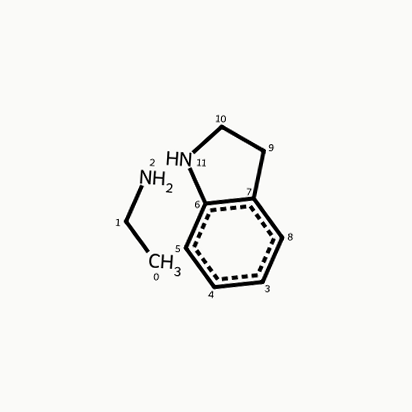 CCN.c1ccc2c(c1)CCN2